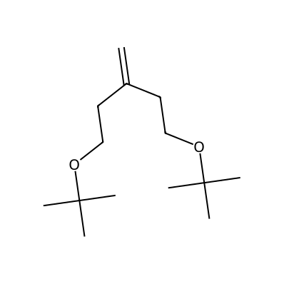 C=C(CCOC(C)(C)C)CCOC(C)(C)C